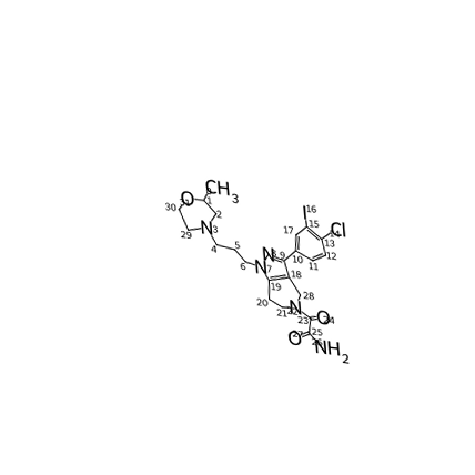 CC1CN(CCCn2nc(-c3ccc(Cl)c(I)c3)c3c2CCN(C(=O)C(N)=O)C3)CCO1